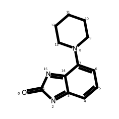 O=C1N=c2cccc(N3CCCCC3)c2=N1